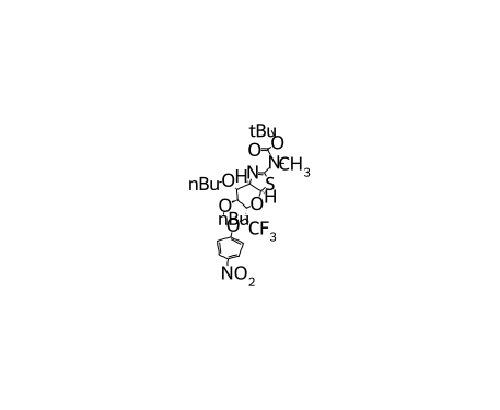 CCCCO[C@@H]1[C@H]2N=C(N(C)C(=O)OC(C)(C)C)S[C@H]2O[C@H](C(Oc2ccc([N+](=O)[O-])cc2)C(F)(F)F)[C@H]1OCCCC